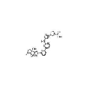 CN1CC[C@@](O)(c2cc(-c3cccc(-c4ccnc(Nc5cnn(C6CCN(C(=O)O)C6)c5)n4)n3)no2)C1=O